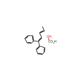 CC=CC=C(c1ccccc1)c1ccccc1.O=C(O)O